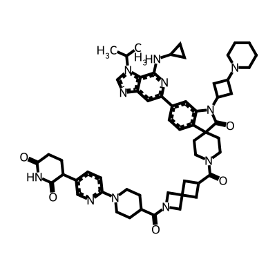 CC(C)n1cnc2cc(-c3ccc4c(c3)N(C3CC(N5CCCCC5)C3)C(=O)C43CCN(C(=O)C4CC5(C4)CN(C(=O)C4CCN(c6ccc(C7CCC(=O)NC7=O)cn6)CC4)C5)CC3)nc(NC3CC3)c21